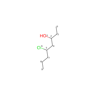 C[CH]C(O)CC(Cl)CCC